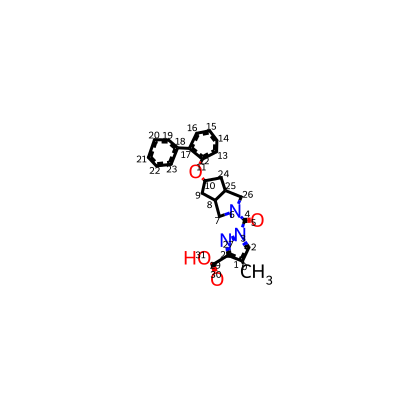 Cc1cn(C(=O)N2CC3CC(Oc4ccccc4-c4ccccc4)CC3C2)nc1C(=O)O